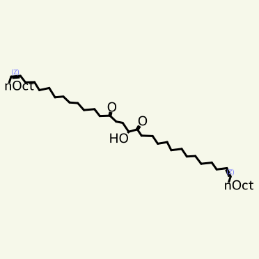 CCCCCCCC/C=C\CCCCCCCCCCCC(=O)CCC(O)C(=O)CCCCCCCCCCC/C=C\CCCCCCCC